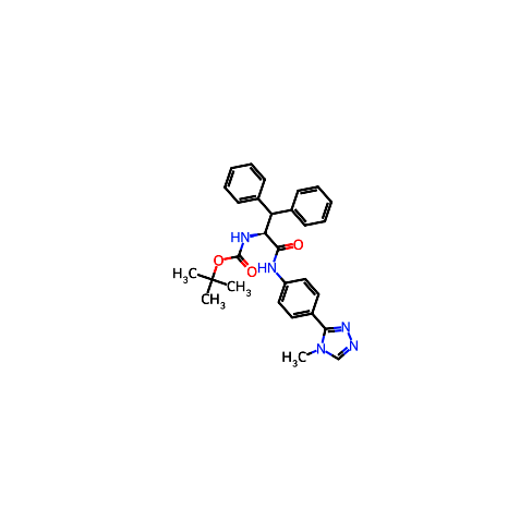 Cn1cnnc1-c1ccc(NC(=O)[C@@H](NC(=O)OC(C)(C)C)C(c2ccccc2)c2ccccc2)cc1